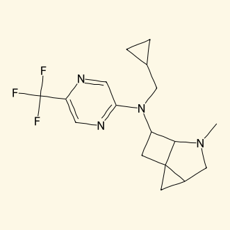 CN1CC2CC23CC(N(CC2CC2)c2cnc(C(F)(F)F)cn2)C13